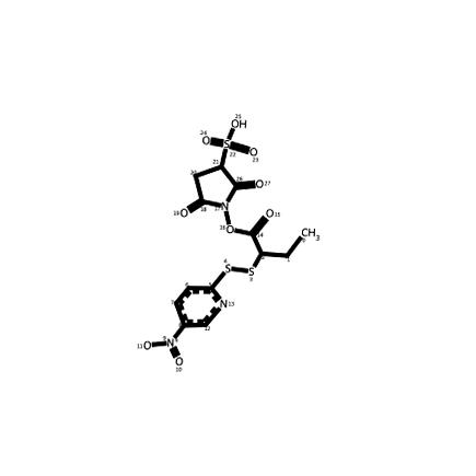 CCC(SSc1ccc([N+](=O)[O-])cn1)C(=O)ON1C(=O)CC(S(=O)(=O)O)C1=O